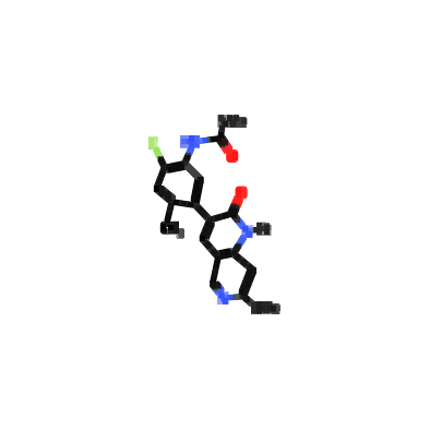 CCn1c(=O)c(-c2cc(NC(=O)NC)c(F)cc2C)cc2cnc(NC)cc21